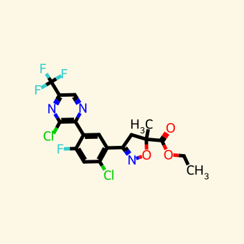 CCOC(=O)C1(C)CC(c2cc(-c3ncc(C(F)(F)F)nc3Cl)c(F)cc2Cl)=NO1